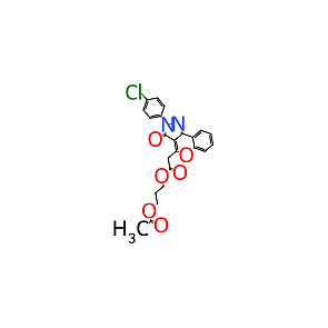 CC(=O)OCCCOC(=O)Cc1oc2ccccc2c2nn(-c3ccc(Cl)cc3)c(=O)c1-2